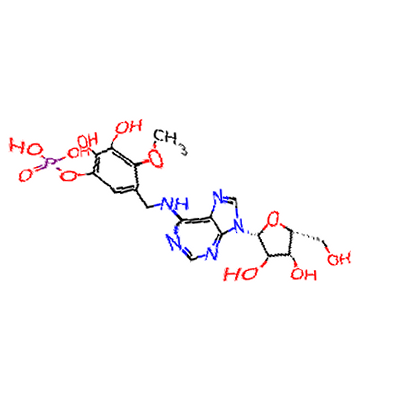 COc1c(CNc2ncnc3c2ncn3[C@@H]2O[C@H](CO)[C@@H](O)[C@H]2O)cc(OP(=O)(O)O)c(O)c1O